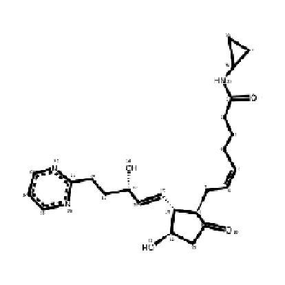 O=C(CCC/C=C\C[C@H]1C(=O)C[C@@H](O)[C@@H]1/C=C/[C@@H](O)CCc1ncccn1)NC1CC1